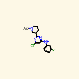 CC(=O)N1CCCC(c2nc(Cl)cc(Nc3cccc(F)c3)n2)C1